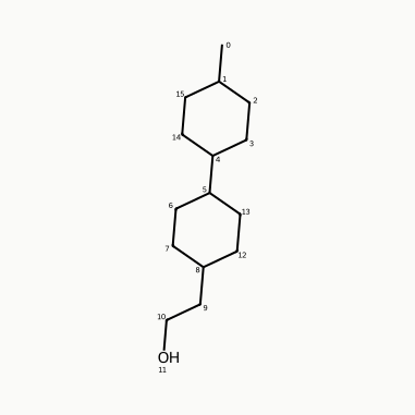 CC1CCC(C2CCC(CCO)CC2)CC1